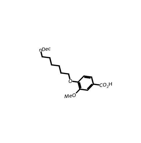 CCCCCCCCCCCCCCCCOc1ccc(C(=O)O)cc1OC